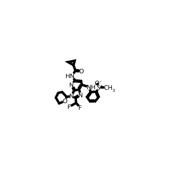 C[S+]([O-])c1ccccc1Nc1cc(NC(=O)C2CC2)nc2c1nc(C(F)F)n2C1CCCCO1